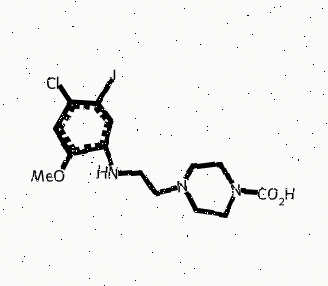 COc1cc(Cl)c(I)cc1NCCN1CCN(C(=O)O)CC1